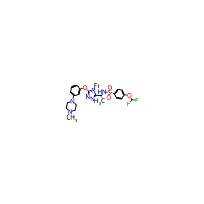 CCn1c(Oc2cccc(N3CCN(C)CC3)c2)nnc1[C@@H](C)NS(=O)(=O)c1ccc(OC(F)F)cc1